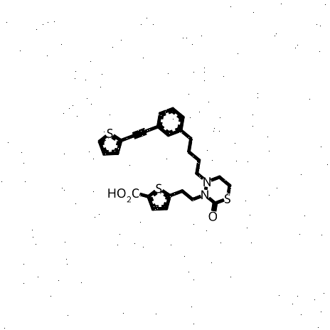 O=C(O)c1ccc(CCN2C(=O)SCCN2CCCCc2cccc(C#Cc3cccs3)c2)s1